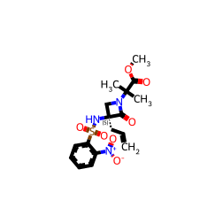 C=CC[C@]1(NS(=O)(=O)c2ccccc2[N+](=O)[O-])CN(C(C)(C)C(=O)OC)C1=O